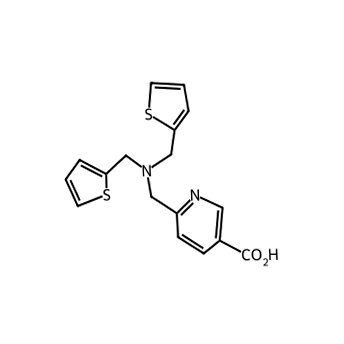 O=C(O)c1ccc(CN(Cc2cccs2)Cc2cccs2)nc1